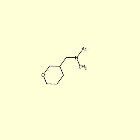 CC(=O)N(C)CC1CCCOC1